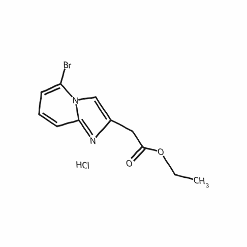 CCOC(=O)Cc1cn2c(Br)cccc2n1.Cl